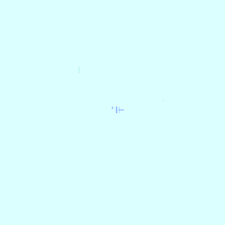 O=C(O)c1ccccc1Nc1c(F)ccc2ccccc12